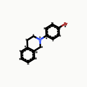 Brc1ccc(N2CCc3ccccc3C2)cc1